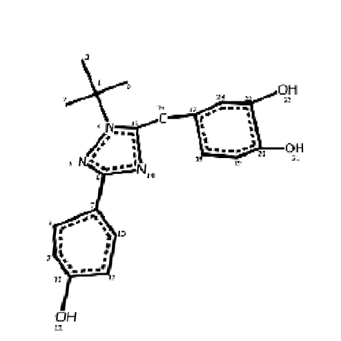 CC(C)(C)n1nc(-c2ccc(O)cc2)nc1Cc1ccc(O)c(O)c1